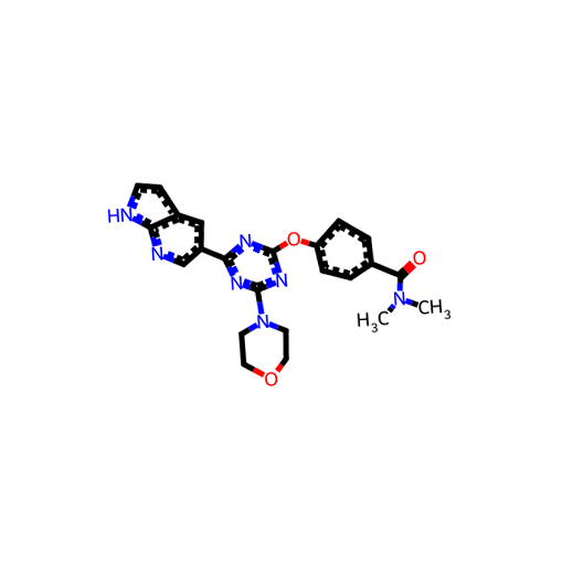 CN(C)C(=O)c1ccc(Oc2nc(-c3cnc4[nH]ccc4c3)nc(N3CCOCC3)n2)cc1